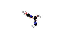 COC(=O)c1ccc(-c2nc(COc3cc(OC)cc4oc(-c5cn6cc(C)ccc6n5)cc34)cs2)cc1